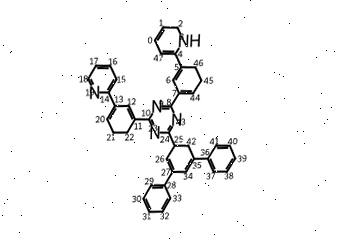 C1=CCNC(C2=CC(c3nc(C4=CC(c5ccccn5)=CCC4)nc(C4C=C(c5ccccc5)C=C(c5ccccc5)C4)n3)=CCC2)=C1